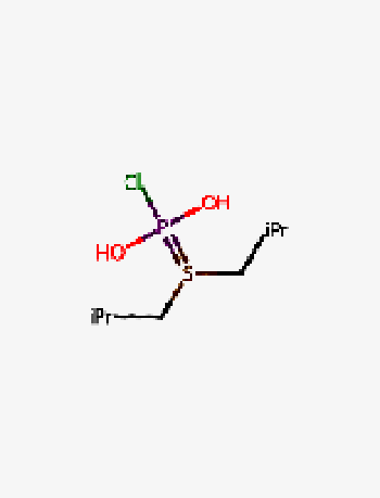 CC(C)CS(CC(C)C)=P(O)(O)Cl